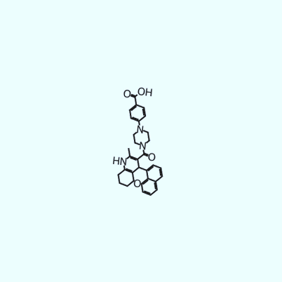 CC1=C(C(=O)N2CCN(c3ccc(C(=O)O)cc3)CC2)C(c2cccc3ccccc23)C2=C(CCCC2=O)N1